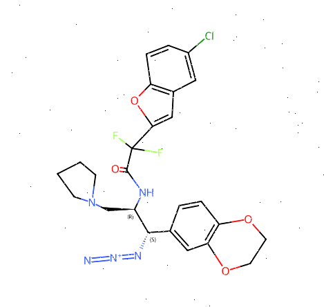 [N-]=[N+]=N[C@@H](c1ccc2c(c1)OCCO2)[C@@H](CN1CCCC1)NC(=O)C(F)(F)c1cc2cc(Cl)ccc2o1